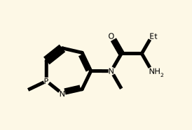 CCC(N)C(=O)N(C)C1=CC#CP(C)N=C1